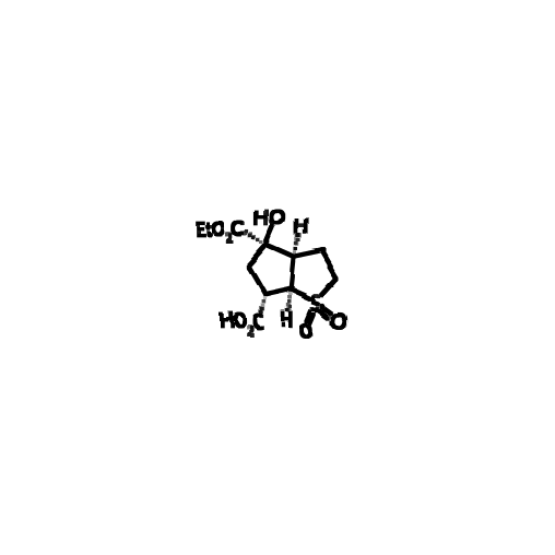 CCOC(=O)[C@@]1(O)C[C@@H](C(=O)O)[C@H]2[C@@H]1CCS2(=O)=O